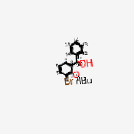 CCCCOc1c(Br)cccc1C(O)c1ccccc1